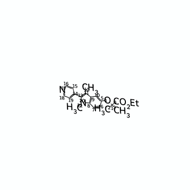 CCOC(=O)C(C)(C)Oc1ccc2c(c1)c(C)c(-c1ccncc1)n2C